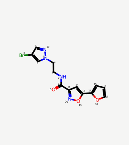 O=C(NCCn1cc(Br)cn1)c1cc(-c2ccco2)on1